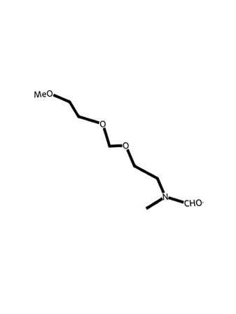 COCCOCOCCN(C)[C]=O